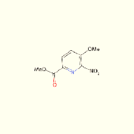 COC(=O)c1ccc(OC)c([N+](=O)[O-])n1